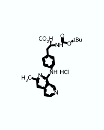 Cc1cc2ccncc2c(Nc2ccc(C[C@H](NC(=O)OC(C)(C)C)C(=O)O)cc2)n1.Cl